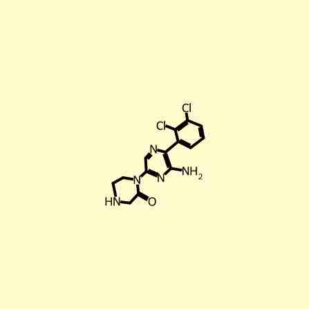 Nc1nc(N2CCNCC2=O)cnc1-c1cccc(Cl)c1Cl